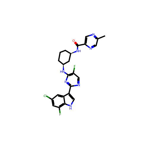 Cc1cnc(C(=O)N[C@@H]2CCC[C@H](Nc3nc(-c4c[nH]c5c(F)cc(Cl)cc45)ncc3F)C2)cn1